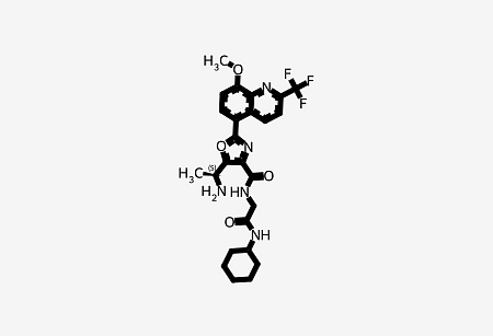 COc1ccc(-c2nc(C(=O)NCC(=O)NC3CCCCC3)c([C@H](C)N)o2)c2ccc(C(F)(F)F)nc12